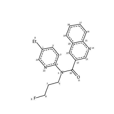 CCc1ccc(N(CCCF)C(=O)c2cnc3ccccc3c2)nc1